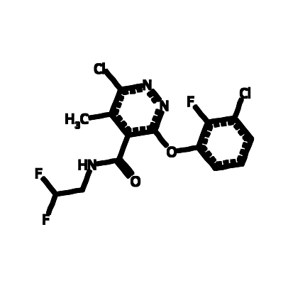 Cc1c(Cl)nnc(Oc2cccc(Cl)c2F)c1C(=O)NCC(F)F